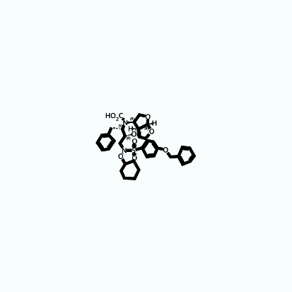 O=C(O)N([C@H]1CO[C@H]2OCC[C@H]21)[C@@H](Cc1ccccc1)[C@H](O)CN(OC1CCCCC1)S(=O)(=O)c1ccc(OCc2ccccc2)cc1